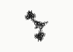 C=CCc1ccc(OCCCCCC[PH](c2ccccc2)(c2ccccc2)c2ccccc2)c(-c2ccc(OCCCCCC[PH](c3ccccc3)(c3ccccc3)c3ccccc3)c(CC=C)c2)c1